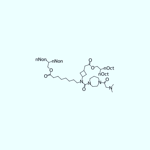 CCCCCCCCCC(CCCCCCCCC)COC(=O)CCCCCCCN(C(=O)N1CCCN(C(=O)CN(C)C)CC1)C1CC(CC(=O)OCC(CCCCCCCC)CCCCCCCC)C1